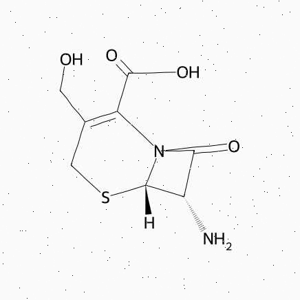 N[C@H]1C(=O)N2C(C(=O)O)=C(CO)CS[C@@H]12